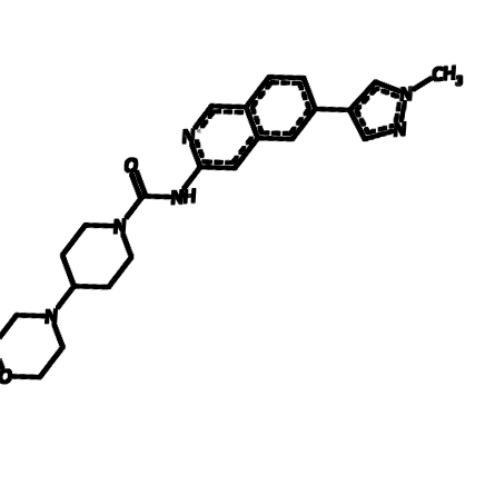 Cn1cc(-c2ccc3cnc(NC(=O)N4CCC(N5CCOCC5)CC4)cc3c2)cn1